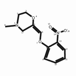 CN1CCOC(=COc2ccccc2[N+](=O)[O-])C1